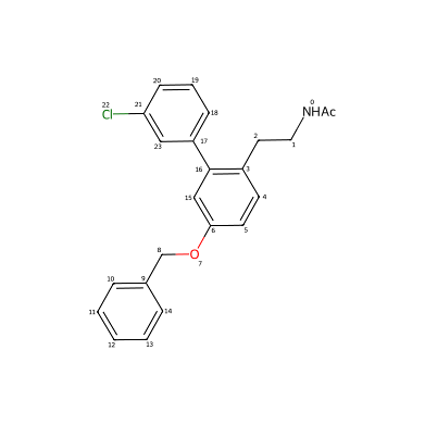 CC(=O)NCCc1ccc(OCc2ccccc2)cc1-c1cccc(Cl)c1